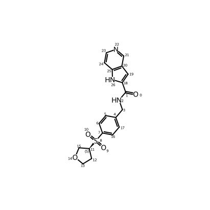 O=C(NCc1ccc(S(=O)(=O)[C@H]2CCOC2)cc1)c1cc2cnccc2[nH]1